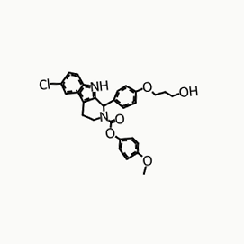 COc1ccc(OC(=O)N2CCc3c([nH]c4ccc(Cl)cc34)C2c2ccc(OCCCO)cc2)cc1